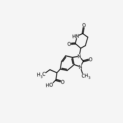 CCC(C(=O)O)c1ccc2c(c1)n(C)c(=O)n2C1CCC(=O)NC1=O